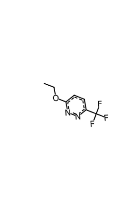 CCOc1ccc(C(F)(F)F)nn1